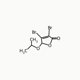 CC(C)OC1OC(=O)C(Br)=C1Br